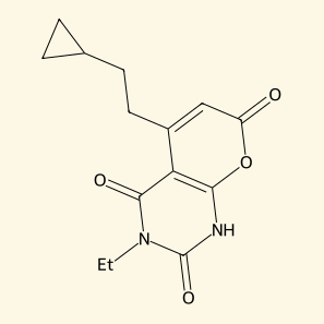 CCn1c(=O)[nH]c2oc(=O)cc(CCC3CC3)c2c1=O